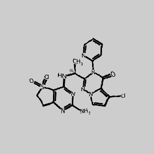 C[C@H](Nc1nc(N)nc2c1S(=O)(=O)CC2)c1nn2ccc(Cl)c2c(=O)n1-c1ccccn1